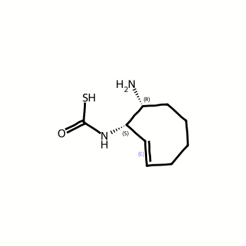 N[C@@H]1CCCC/C=C/[C@@H]1NC(=O)S